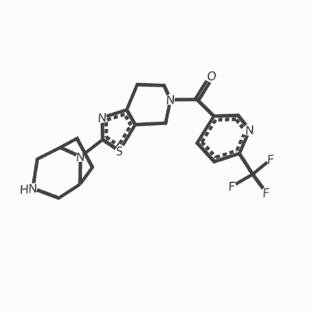 O=C(c1ccc(C(F)(F)F)nc1)N1CCc2nc(N3C4CCC3CNC4)sc2C1